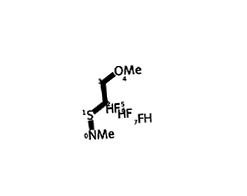 CNSCCOC.F.F.F